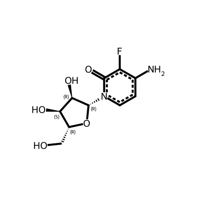 Nc1ccn([C@@H]2O[C@H](CO)[C@@H](O)[C@H]2O)c(=O)c1F